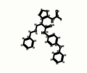 CC(=O)Nc1sccc1C(COCc1ccccc1)C(=O)Nc1ccc(Oc2ccccc2)cc1